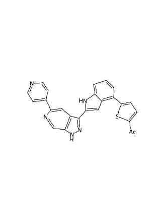 CC(=O)c1ccc(-c2cccc3[nH]c(-c4n[nH]c5cnc(-c6ccncc6)cc45)cc23)s1